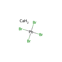 [Br][Pb]([Br])([Br])[Br].[CaH2]